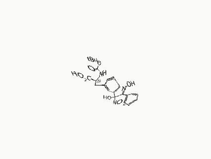 CC(C)(C)OC(=O)N[C@@H](Cc1cccc(C(O)(C(=NO)c2ccccc2)[N+](=O)[O-])c1)C(=O)O